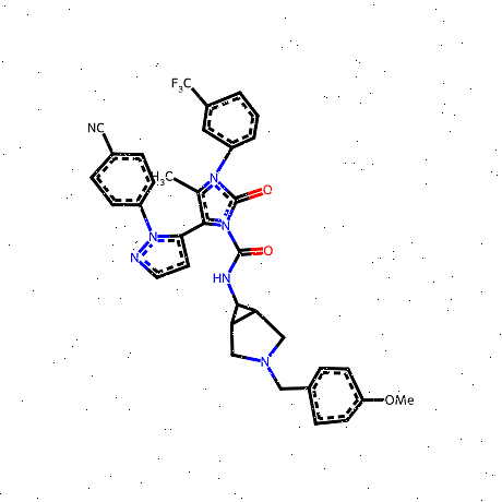 COc1ccc(CN2CC3C(C2)C3NC(=O)n2c(-c3ccnn3-c3ccc(C#N)cc3)c(C)n(-c3cccc(C(F)(F)F)c3)c2=O)cc1